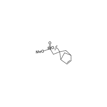 CCOC(=O)C1(CC(=O)OC)CC2C=CC1C2